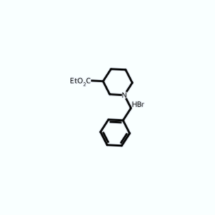 Br.CCOC(=O)C1CCCN(Cc2ccccc2)C1